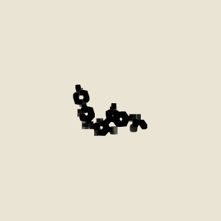 C=CC(=O)Nc1ccc2c(-c3nc(Nc4ccc(N5CCN(C)CC5)nc4)ncc3Cl)cn(C)c2c1